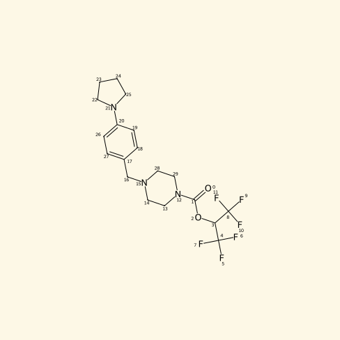 O=C(OC(C(F)(F)F)C(F)(F)F)N1CCN(Cc2ccc(N3CCCC3)cc2)CC1